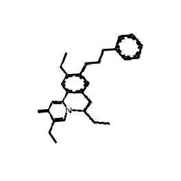 C=C1C=C2c3cc(CC)c(CCCc4ccccc4)cc3CC(CC)N2C=C1CC